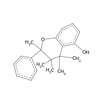 CC1(C)c2c(O)cccc2OC(C)(c2ccccc2)C1(C)C